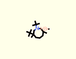 CBC1(C)CCCC(C)(C(C)(C)C)CN(C(C)(C)C)C1